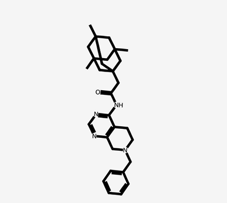 CC12CC3(C)CC(C)(C1)CC(CC(=O)Nc1ncnc4c1CCN(Cc1ccccc1)C4)(C2)C3